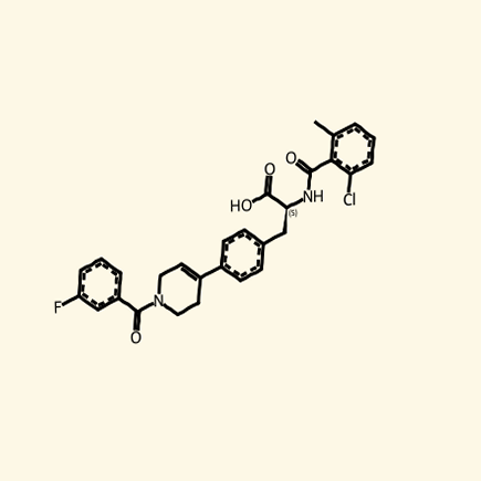 Cc1cccc(Cl)c1C(=O)N[C@@H](Cc1ccc(C2=CCN(C(=O)c3cccc(F)c3)CC2)cc1)C(=O)O